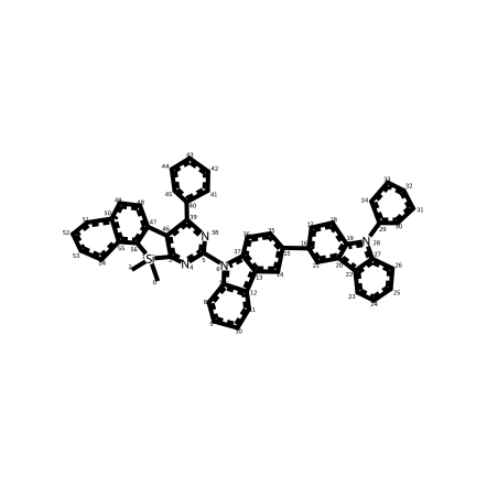 C[Si]1(C)c2nc(-n3c4ccccc4c4cc(-c5ccc6c(c5)c5ccccc5n6-c5ccccc5)ccc43)nc(-c3ccccc3)c2-c2ccc3ccccc3c21